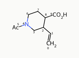 C=CC1CN(C(C)=O)CCC1C(=O)O